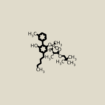 CCCCCc1cc(O)c(-c2cccc(C)c2)c(OP(C)(=O)N[C@@H](C)C(=O)OCC(C)(C)C)c1